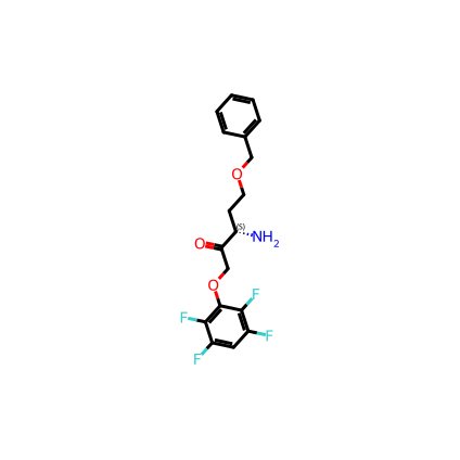 N[C@@H](CCOCc1ccccc1)C(=O)COc1c(F)c(F)cc(F)c1F